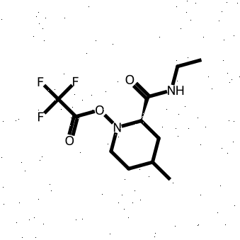 CCNC(=O)[C@H]1CC(C)CCN1OC(=O)C(F)(F)F